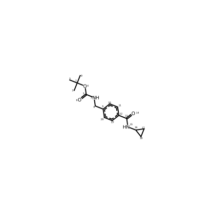 CC(C)(C)OC(=O)NCc1ccc(C(=O)NC2CC2)cc1